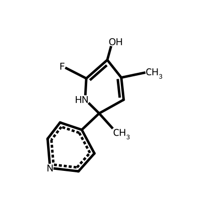 CC1=CC(C)(c2ccncc2)NC(F)=C1O